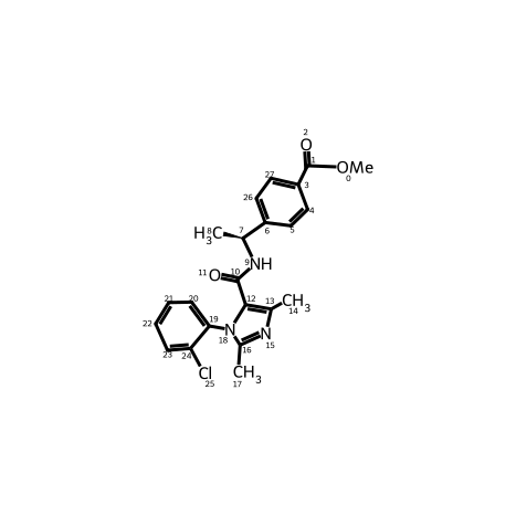 COC(=O)c1ccc([C@H](C)NC(=O)c2c(C)nc(C)n2-c2ccccc2Cl)cc1